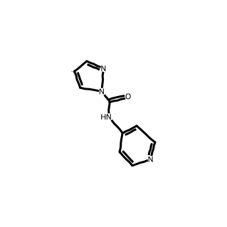 O=C(Nc1ccncc1)n1c[c]cn1